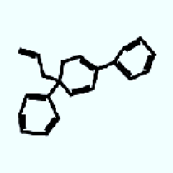 C=CCC1(c2ccccc2)C=CC(c2ccccc2)=CC1